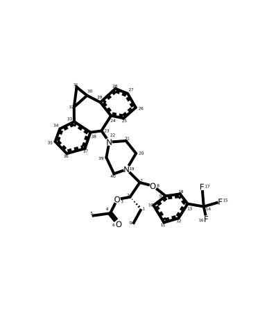 CC[C@H](OC(C)=O)C(Oc1cccc(C(F)(F)F)c1)N1CCN(C2c3ccccc3C3CC3c3ccccc32)CC1